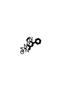 C[S+]([O-])c1ncc2c(n1)N1CCN=C1C(c1ccccc1)=C2